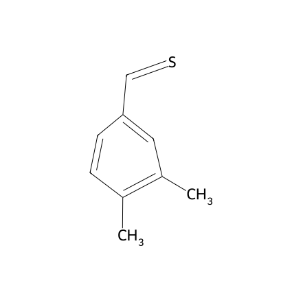 Cc1ccc(C=S)cc1C